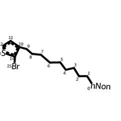 CCCCCCCCCCCCCCCCCCc1ccsc1Br